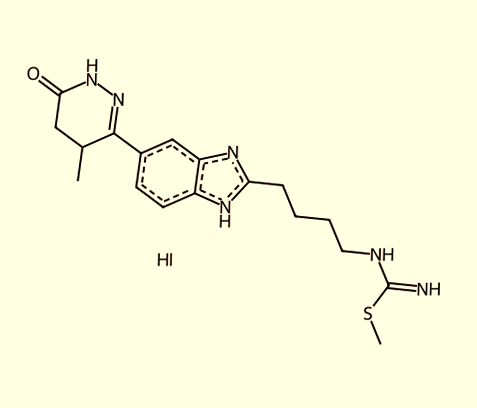 CSC(=N)NCCCCc1nc2cc(C3=NNC(=O)CC3C)ccc2[nH]1.I